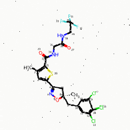 Cc1cc(C2=NO[C@](C)(Cc3cc(Cl)c(Cl)c(Cl)c3)C2)sc1C(=O)NCC(=O)NCC(F)(F)F